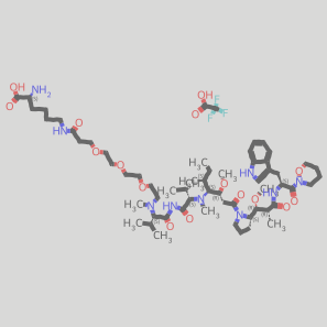 CC[C@H](C)[C@@H]([C@@H](CC(=O)N1CCC[C@H]1[C@H](OC)[C@@H](C)C(=O)N[C@@H](Cc1c[nH]c2ccccc12)C(=O)N1CCCCO1)OC)N(C)[C@H](C(=O)NC(=O)[C@H](C(C)C)N(C)CCOCCOCCOCCC(=O)NCCCC[C@H](N)C(=O)O)C(C)C.O=C(O)C(F)(F)F